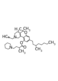 C#CCN1CCC2=C(C1)c1c(OC(=O)C(C)CCN3CCCCC3)cc(CCC(C)CCCCC)cc1OC2(C)C